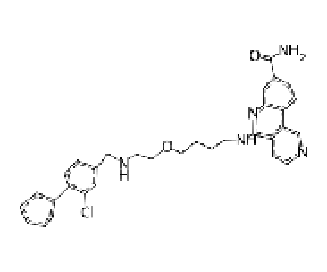 NC(=O)c1ccc2c(c1)nc(NCCCCOCCNCc1ccc(-c3ccccc3)c(Cl)c1)c1ccncc12